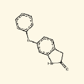 O=C1Cc2ccc(Oc3ccccc3)cc2N1